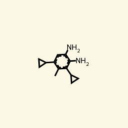 Cc1c(C2CC2)cc(N)c(N)c1C1CC1